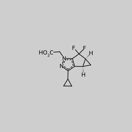 O=C(O)Cn1nc(C2CC2)c2c1C(F)(F)[C@H]1C[C@@H]21